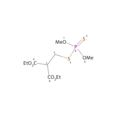 CCOC(=O)C(CSP(=S)(OC)OC)C(=O)OCC